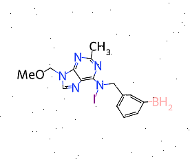 Bc1cccc(CN(I)c2nc(C)nc3c2ncn3COC)c1